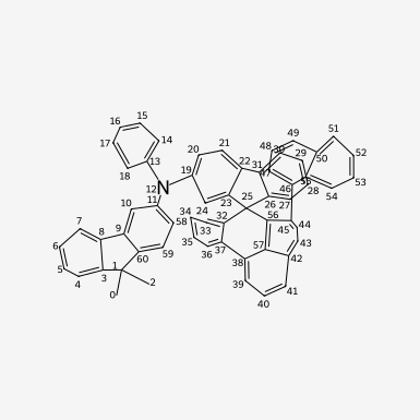 CC1(C)c2ccccc2-c2cc(N(c3ccccc3)c3ccc4c(c3)C3(c5ccccc5-4)c4ccccc4-c4cccc5ccc(-c6cccc7ccccc67)c3c45)ccc21